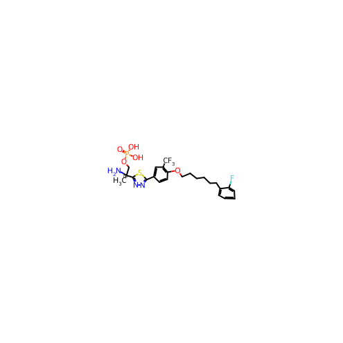 C[C@](N)(COP(=O)(O)O)c1nnc(-c2ccc(OCCCCCCc3ccccc3F)c(C(F)(F)F)c2)s1